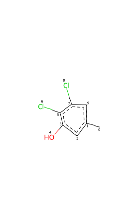 Cc1cc(O)c(Cl)c(Cl)c1